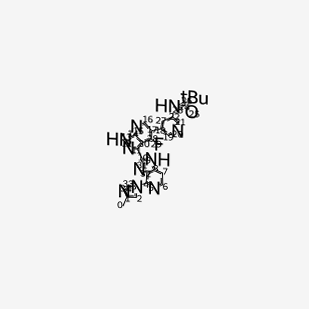 Cc1cn(-c2nccc3[nH]c(-c4n[nH]c5ncc(-c6cncc(NC(=O)C(C)(C)C)c6)c(F)c45)nc23)cn1